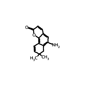 CC1(C)C=Cc2c(c(N)cc3ccc(=O)oc23)C1